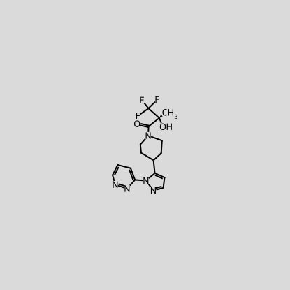 C[C@@](O)(C(=O)N1CCC(c2ccnn2-c2cccnn2)CC1)C(F)(F)F